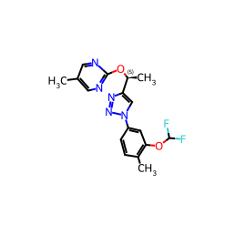 Cc1cnc(O[C@@H](C)c2cn(-c3ccc(C)c(OC(F)F)c3)nn2)nc1